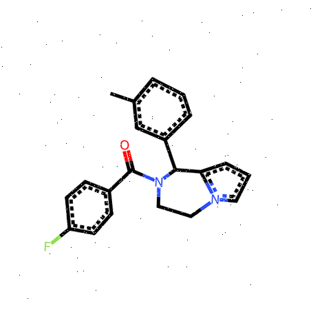 Cc1cccc(C2c3cccn3CCN2C(=O)c2ccc(F)cc2)c1